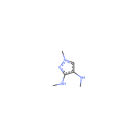 CNc1cn(C)nc1NC